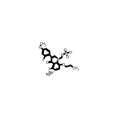 CCCOc1ccc(F)c2c(=O)c(-c3ccc(OC)cc3F)cn(COP(=O)([O-])[O-])c12.[Na+].[Na+]